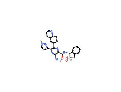 Cn1ccc(-c2nc(N)c(C(=O)N[C@H]3c4ccccc4C[C@@H]3O)nc2-c2ccc3ncccc3c2)n1